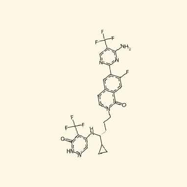 Nc1nc(-c2cc3ccn(CCC[C@@H](Nc4cn[nH]c(=O)c4C(F)(F)F)C4CC4)c(=O)c3cc2F)ncc1C(F)(F)F